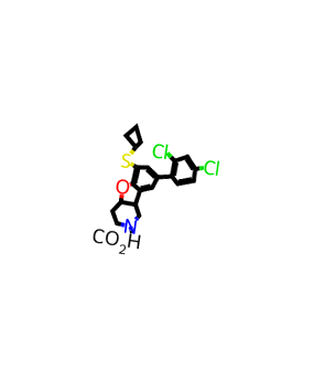 O=C(O)N1CCC2Oc3c(SC4CCC4)cc(-c4ccc(Cl)cc4Cl)cc3C2C1